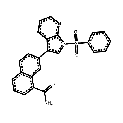 NC(=O)c1cccc2ccc(-c3cn(S(=O)(=O)c4ccccc4)c4ncccc34)cc12